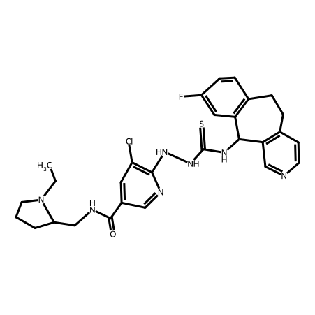 CCN1CCCC1CNC(=O)c1cnc(NNC(=S)NC2c3cnccc3CCc3ccc(F)cc32)c(Cl)c1